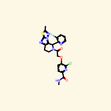 CNC(=O)c1ccc(OCC(=O)N2CCc3nc4sc(C)nn4c3C2c2ncccc2F)c(Cl)n1